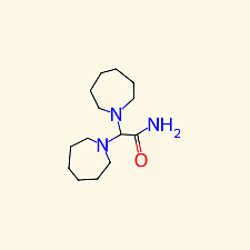 NC(=O)C(N1CCCCCC1)N1CCCCCC1